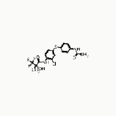 CC(O)(C(=O)Nc1ccc(Sc2ccc(NC(N)=O)cc2)cc1Cl)C(F)(F)F